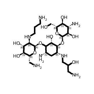 NCCCN[C@H]1[C@@H](OC2[C@@H](N)C[C@@H](NCC(O)CN)[C@H](O[C@H]3O[C@H](CO)[C@@H](O)[C@H](N)[C@H]3O)[C@H]2O)O[C@H](CN)[C@@H](O)[C@@H]1O